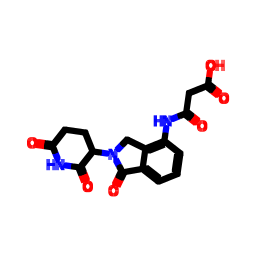 O=C(O)CC(=O)Nc1cccc2c1CN(C1CCC(=O)NC1=O)C2=O